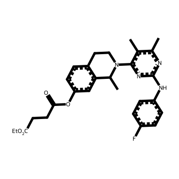 CCOC(=O)CCC(=O)Oc1ccc2c(c1)C(C)N(c1nc(Nc3ccc(F)cc3)nc(C)c1C)CC2